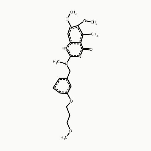 COCCCOc1cccc(CN(C)c2nc(=O)c3c(C)c(OC)c(OC)cc3[nH]2)c1